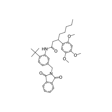 CCCCCC(CC(=O)Nc1cc(CN2C(=O)c3ccccc3C2=O)ccc1C(C)(C)C)c1cc(OC)c(OC)cc1OC